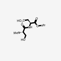 CCCOC(=O)[C@H](CC(=O)O)NC(=O)[C@H](CO)NC